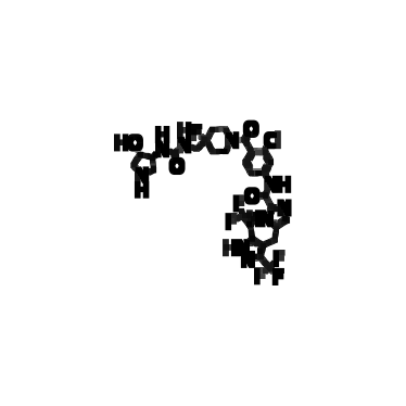 O=C(NCC1(F)CCN(C(=O)c2ccc(NC(=O)c3ncc(Cc4c(C(F)(F)F)n[nH]c4[C@@H]4CC4(F)F)[nH]3)cc2Cl)CC1)N[C@H]1CNC[C@@H]1O